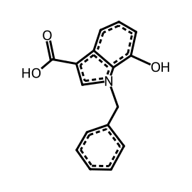 O=C(O)c1cn(Cc2ccccc2)c2c(O)cccc12